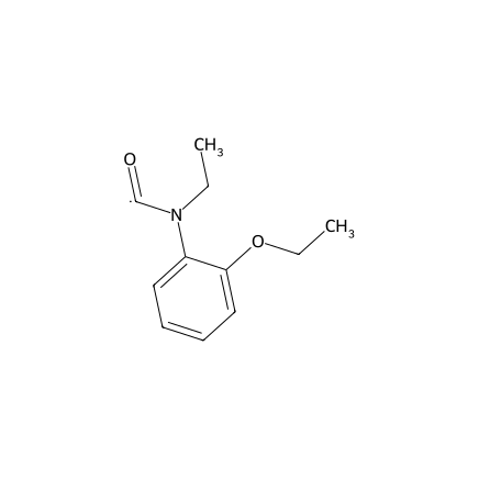 CCOc1ccccc1N([C]=O)CC